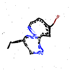 CCc1[c]nc2cc(Br)ccn12